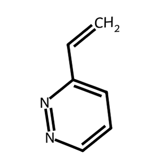 C=Cc1cccnn1